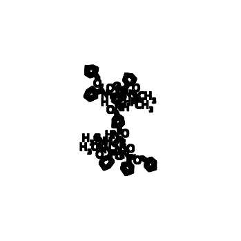 CN[C@@H](C)C(=O)N[C@H](C(=O)N1C[C@@H](NC(=O)c2ccc(C(=O)N[C@H]3C[C@@H](C(=O)N[C@H](COCc4ccccc4)c4ccccc4)N(C(=O)[C@@H](NC(=O)[C@H](C)NC)C4CCCCC4)C3)cc2)C[C@H]1C(=O)N[C@H](COCc1ccccc1)c1ccccc1)C1CCCCC1